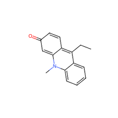 CCc1c2ccc(=O)cc-2n(C)c2ccccc12